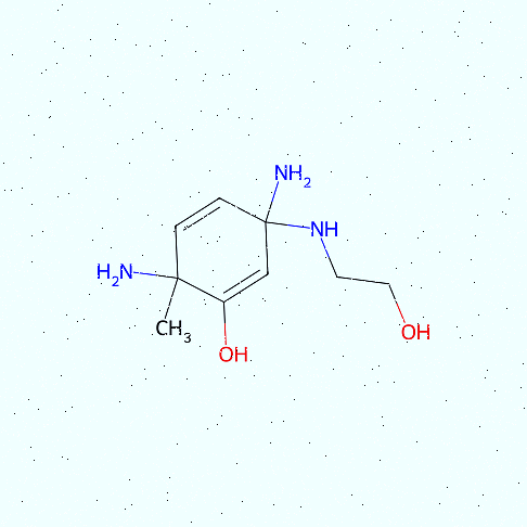 CC1(N)C=CC(N)(NCCO)C=C1O